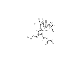 C=CC(=O)OC(C)c1nccn1CCCC.O=S(=O)(NS(=O)(=O)C(F)(F)F)C(F)(F)F